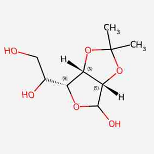 CC1(C)O[C@H]2[C@@H](C(O)CO)OC(O)[C@H]2O1